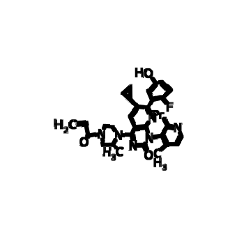 C=CC(=O)N1CCN(c2nc(=O)n(-c3c(C)ccnc3C(C)C)c3nc(-c4cc(O)ccc4F)c(C4CC4)cc23)[C@@H](C)C1